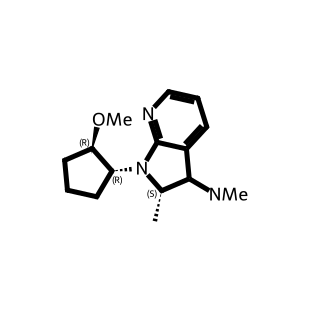 CNC1c2cccnc2N([C@@H]2CCC[C@H]2OC)[C@H]1C